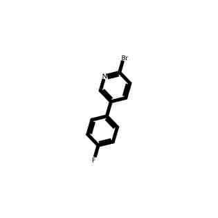 Fc1ccc(-c2ccc(Br)nc2)cc1